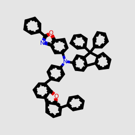 c1ccc(-c2nc3cc(N(c4ccc(-c5cccc6c5oc5c(-c7ccccc7)cccc56)cc4)c4ccc5c(c4)C(c4ccccc4)(c4ccccc4)c4ccccc4-5)ccc3o2)cc1